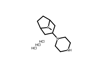 CN1C2CCC1CC(N1CCNCC1)C2.Cl.Cl.Cl